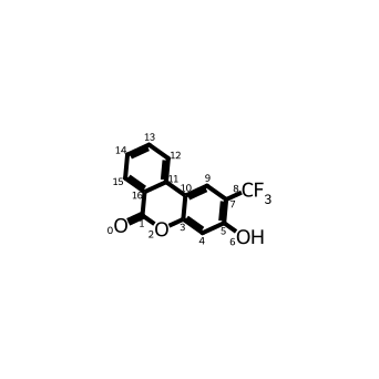 O=c1oc2cc(O)c(C(F)(F)F)cc2c2ccccc12